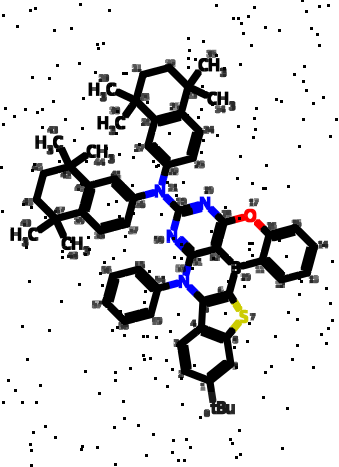 CC(C)(C)c1ccc2c3c(sc2c1)B1c2ccccc2Oc2nc(N(c4ccc5c(c4)C(C)(C)CCC5(C)C)c4ccc5c(c4)C(C)(C)CCC5(C)C)nc(c21)N3c1ccccc1